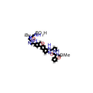 CC[C@H](C)N(Cc1ncc(-c2ccc3c(c2)COc2cc4c(ccc5nc(C6CCCN6C(=O)[C@H](NC(=O)OC)C6=CCCC=C6)[nH]c54)cc2-3)[nH]1)C(=O)CNC(=O)O